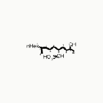 CCCCCCC(C)CCCCCCC(C)O.O=S(=O)(O)O